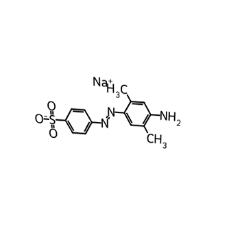 Cc1cc(/N=N/c2ccc(S(=O)(=O)[O-])cc2)c(C)cc1N.[Na+]